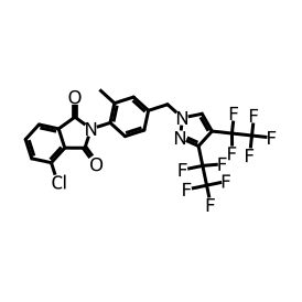 Cc1cc(Cn2cc(C(F)(F)C(F)(F)F)c(C(F)(F)C(F)(F)F)n2)ccc1N1C(=O)c2cccc(Cl)c2C1=O